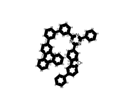 c1ccc(-c2ccc3oc4cc(-c5nc(-c6ccccc6)nc(-c6cccc(-c7cccc(-c8ccc9c%10ccccc%10c%10ccccc%10c9c8)c7)c6)n5)ccc4c3c2)cc1